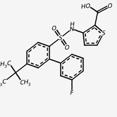 CC(C)(C)c1ccc(S(=O)(=O)Nc2ccsc2C(=O)O)c(-c2cccc(F)c2)c1